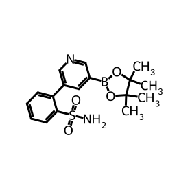 CC1(C)OB(c2cncc(-c3ccccc3S(N)(=O)=O)c2)OC1(C)C